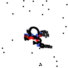 COc1ccc2nc(C3CC3)c3c(c2c1)CC[C@]1(C[C@H]2C(=O)N[C@]4(C(=O)NS(=O)(=O)C5(C)CC5)C[C@H]4/C=C\CCCCC[C@H](N(CC(C)(C)C)C(=O)O)C(=O)N2C1)O3